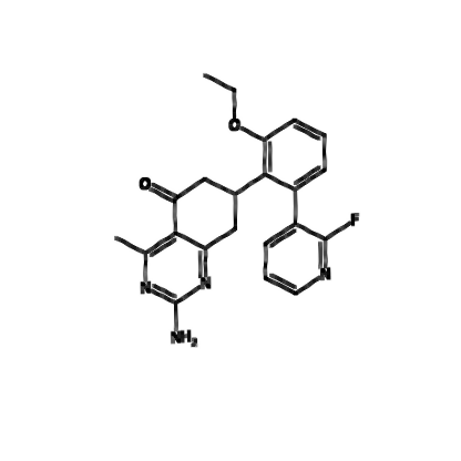 CCOc1cccc(-c2cccnc2F)c1C1CC(=O)c2c(C)nc(N)nc2C1